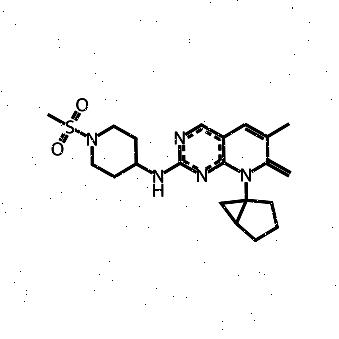 C=C1C(C)=Cc2cnc(NC3CCN(S(C)(=O)=O)CC3)nc2N1C12CCCC1C2